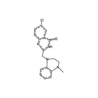 CN1CCN(Cc2nc3ccc(Cl)cc3c(=O)[nH]2)c2ccccc21